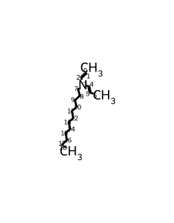 CC=CN(C=CC)CCCCCCCCCCCC